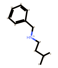 CC(C)CCNCc1c[c]ccc1